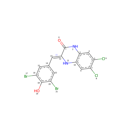 O=C1Nc2cc(Cl)c(Cl)cc2N/C1=C\c1cc(Br)c(O)c(Br)c1